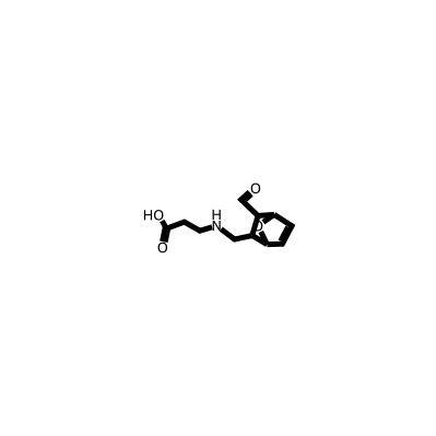 O=CC1C2C=CC(O2)C1CNCCC(=O)O